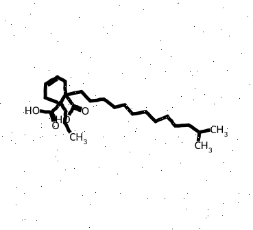 CCCC1(C(=O)O)CC=CCC1(CCCCCCCCCCCC(C)C)C(=O)O